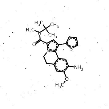 COc1cc2c(cc1N)-c1c(-c3cccs3)cc(C(=O)N(C)C(C)(C)C)n1CC2